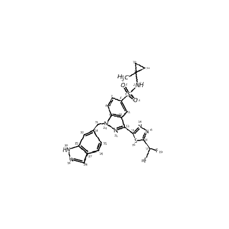 CC1(NS(=O)(=O)c2ccc3c(c2)c(-c2nnc(C(F)F)s2)nn3Cc2ccc3cn[nH]c3c2)CC1